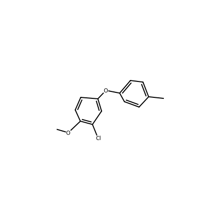 COc1ccc(Oc2ccc(C)cc2)cc1Cl